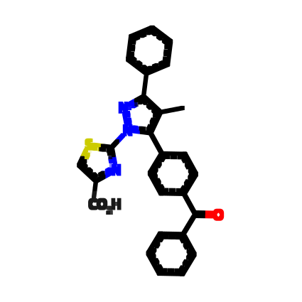 Cc1c(-c2ccccc2)nn(-c2nc(C(=O)O)cs2)c1-c1ccc(C(=O)c2ccccc2)cc1